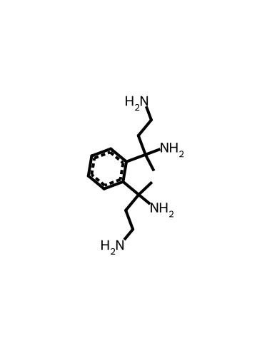 CC(N)(CCN)c1ccccc1C(C)(N)CCN